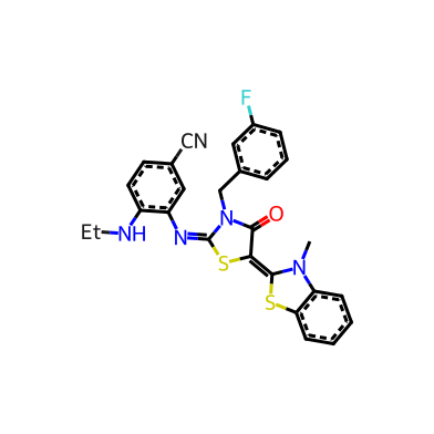 CCNc1ccc(C#N)cc1N=C1S/C(=C2\Sc3ccccc3N2C)C(=O)N1Cc1cccc(F)c1